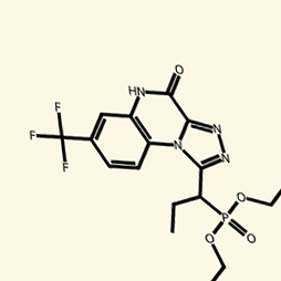 CCOP(=O)(OCC)C(CC)c1nnc2c(=O)[nH]c3cc(C(F)(F)F)ccc3n12